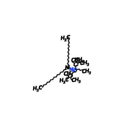 CCCCC1=C(c2cc(CC)c(C)c(CC)c2)[N+](=[N-])C(c2cc(CC)c(C)c(CC)c2)=C1.CCCCCCCCCCCCCCC[CH2][Ni][CH2]CCCCCCCCCCCCCCC